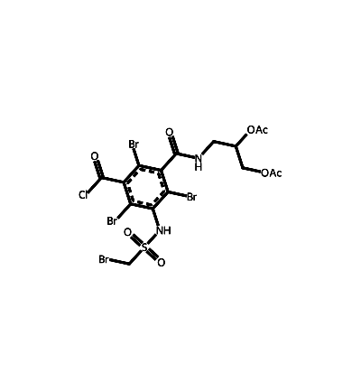 CC(=O)OCC(CNC(=O)c1c(Br)c(NS(=O)(=O)CBr)c(Br)c(C(=O)Cl)c1Br)OC(C)=O